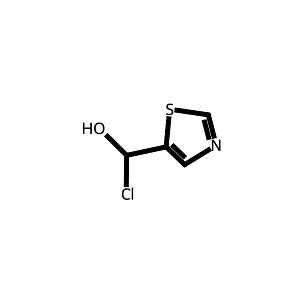 OC(Cl)c1cncs1